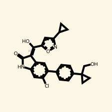 O=C1Nc2cc(Cl)c(-c3ccc(C4(CO)CC4)cc3)cc2/C1=C(/O)c1cc(C2CC2)no1